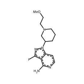 COCCN1CCCC(n2nc(I)c3c(N)nccc32)C1